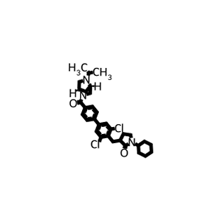 CC(C)N1C[C@@H]2C[C@H]1CN2C(=O)c1ccc(-c2cc(Cl)c(CC3CCN(C4CCCCC4)C3=O)c(Cl)c2)cc1